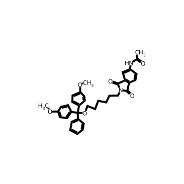 COc1ccc(C(OCCCCCCN2C(=O)c3ccc(NC(C)=O)cc3C2=O)(c2ccccc2)c2ccc(OC)cc2)cc1